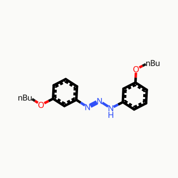 CCCCOc1cccc(/N=N/Nc2cccc(OCCCC)c2)c1